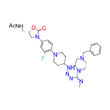 C/N=C(\N=N/NC1CCN(c2ccc(N3C[C@H](CNC(C)=O)OC3=O)cc2F)CC1)N1CCN(Cc2ccccc2)CC1